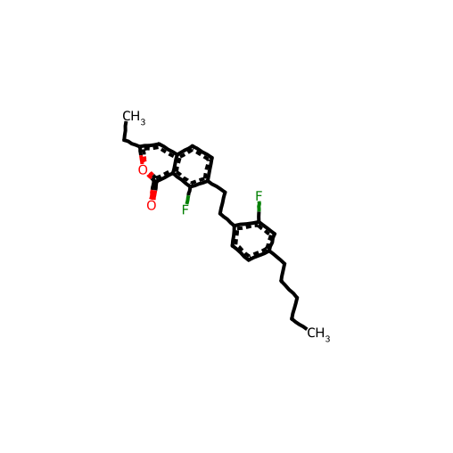 CCCCCc1ccc(CCc2ccc3cc(CC)oc(=O)c3c2F)c(F)c1